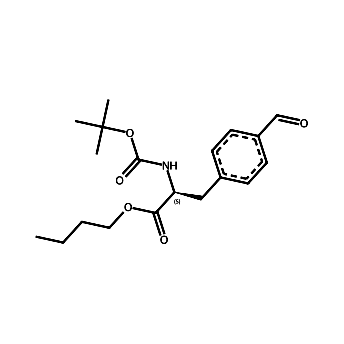 CCCCOC(=O)[C@H](Cc1ccc(C=O)cc1)NC(=O)OC(C)(C)C